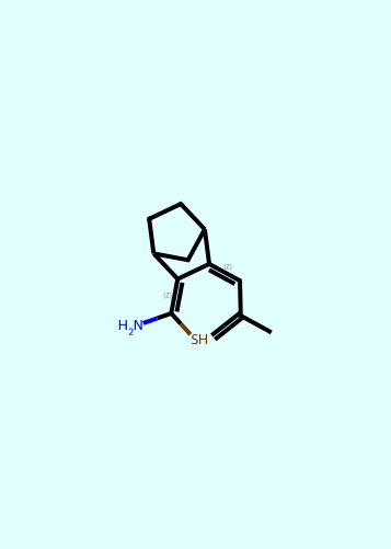 C=C(C)/C=C1\C(=C(\N)S)C2CCC1C2